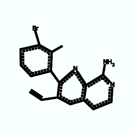 C=Cc1cc2ccnc(N)c2nc1-c1cccc(Br)c1C